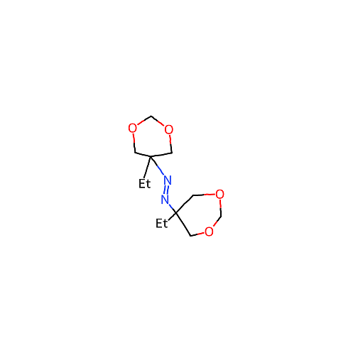 CCC1(N=NC2(CC)COCOC2)COCOC1